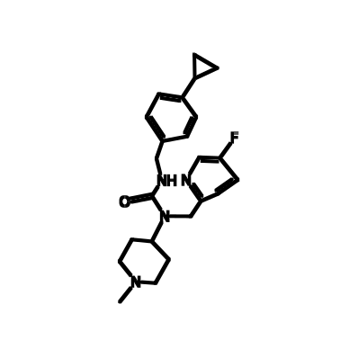 CN1CCC(N(Cc2ccc(F)cn2)C(=O)NCc2ccc(C3CC3)cc2)CC1